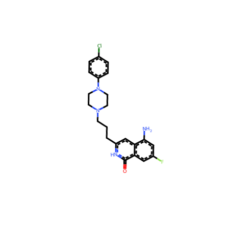 Nc1cc(F)cc2c(=O)[nH]c(CCCN3CCN(c4ccc(Cl)cc4)CC3)cc12